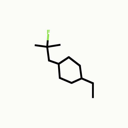 CCC1CCC(CC(C)(C)F)CC1